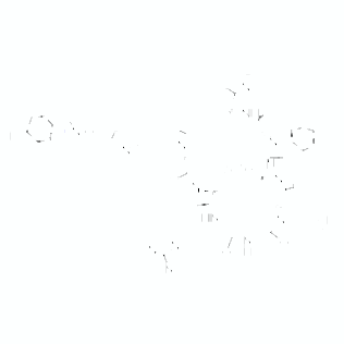 CCNC(=O)[C@@H]1CSCC(=O)N[C@@H](CCCCNC(=O)CO/N=C/c2ccc(F)cc2)C(=O)N[C@H]2CSSC[C@H](NC(=O)[C@H](CC(=O)O)NC(=O)CNC(=O)[C@H](CCCNC(=N)N)NC2=O)C(=O)N[C@@H](Cc2ccccc2)C(=O)N1